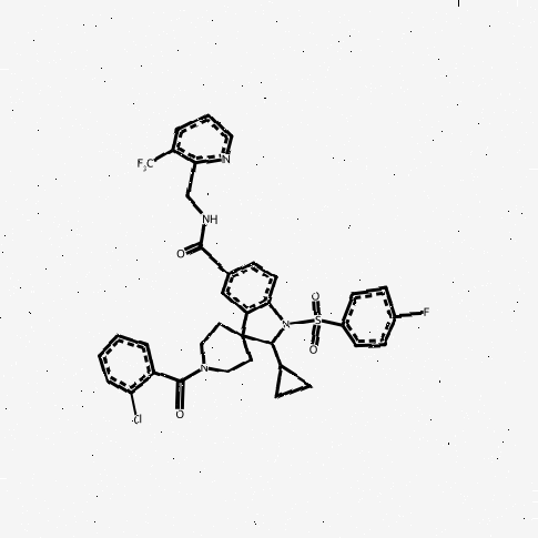 O=C(NCc1ncccc1C(F)(F)F)c1ccc2c(c1)C1(CCN(C(=O)c3ccccc3Cl)CC1)C(C1CC1)N2S(=O)(=O)c1ccc(F)cc1